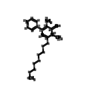 CCCCCCCCCc1nc(-c2ccncc2)c(N)c(=O)n1C